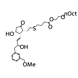 CCCCCCCCOCCOC(=O)CCCSCC[C@H]1C(=O)C[C@@H](O)[C@H]1C=C[C@@H](O)Cc1cccc(COC)c1